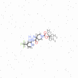 CC(C)(C)OC(=O)N1CCC(N)(C(=O)Nc2cc(C(F)(F)F)ccn2)CC1